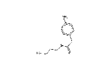 Nc1ccc(CC(=O)SCCCS)cc1